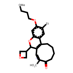 CCc1cc2c(cc1OCCCOC)OC(C1COC1)C1=C2CCCCC(=O)/C(C(=O)O)=C\1